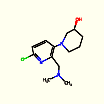 CN(C)Cc1nc(Cl)ccc1N1CCC[C@H](O)C1